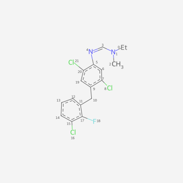 CCN(C)/C=N\c1cc(Cl)c(Cc2cccc(Cl)c2F)cc1Cl